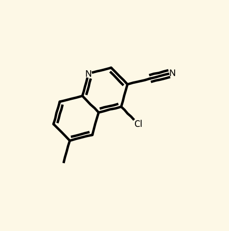 Cc1ccc2ncc(C#N)c(Cl)c2c1